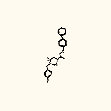 C[C@@H]1CN(Cc2ccc(F)cc2)[C@@H](C)CN1C(=O)COc1ccc(-c2ccccc2)cc1